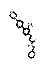 Cc1cc(/C=C/C(=O)NOC2CCCCO2)ccc1-c1ccc(N2CCOCC2)cc1